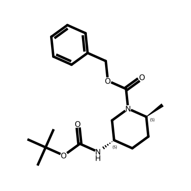 C[C@H]1CC[C@H](NC(=O)OC(C)(C)C)CN1C(=O)OCc1ccccc1